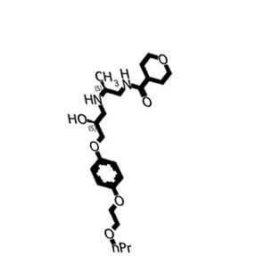 CCCOCCOc1ccc(OC[C@@H](O)CN[C@@H](C)CNC(=O)C2CCOCC2)cc1